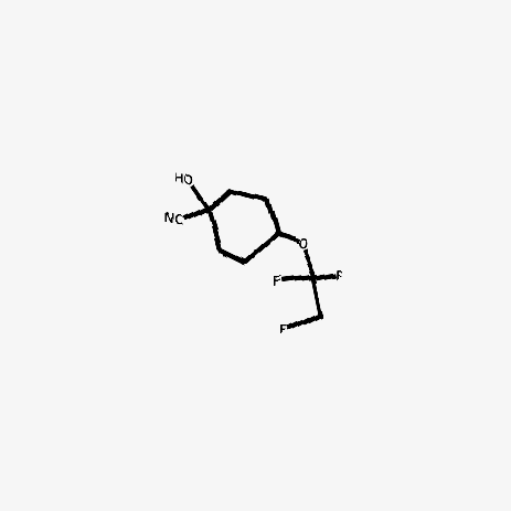 N#CC1(O)CCC(OC(F)(F)CF)CC1